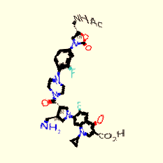 CC(=O)NC[C@H]1CN(c2ccc(N3CCN(C(=O)[C@@H]4CN(c5cc6c(cc5F)c(=O)c(C(=O)O)cn6C5CC5)C[C@H]4CN)CC3)c(F)c2)C(=O)O1